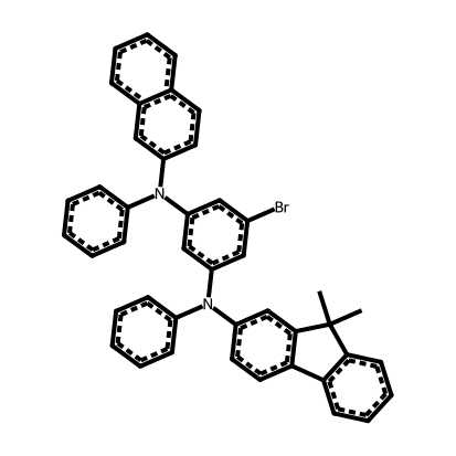 CC1(C)c2ccccc2-c2ccc(N(c3ccccc3)c3cc(Br)cc(N(c4ccccc4)c4ccc5ccccc5c4)c3)cc21